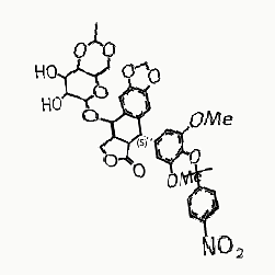 COc1cc([C@H]2c3cc4c(cc3C(OC3OC5COC(C)OC5C(O)C3O)C3COC(=O)C32)OCO4)cc(OC)c1OC(C)(C)c1ccc([N+](=O)[O-])cc1